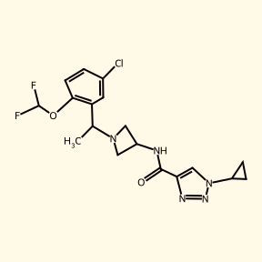 CC(c1cc(Cl)ccc1OC(F)F)N1CC(NC(=O)c2cn(C3CC3)nn2)C1